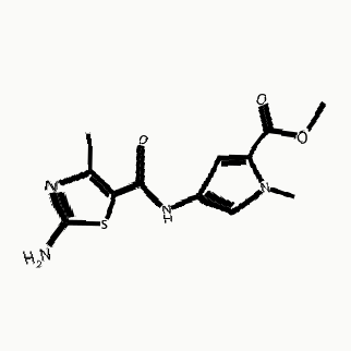 COC(=O)c1cc(NC(=O)c2sc(N)nc2C)cn1C